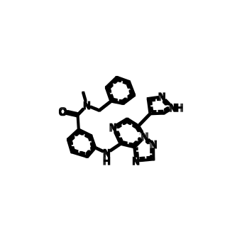 CN(Cc1ccccc1)C(=O)c1cccc(Nc2ncc(-c3cn[nH]c3)n3ncnc23)c1